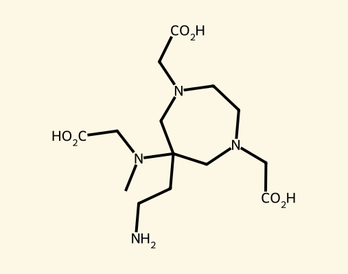 CN(CC(=O)O)C1(CCN)CN(CC(=O)O)CCN(CC(=O)O)C1